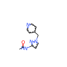 CC(=O)Nc1ccn(Cc2ccncc2)n1